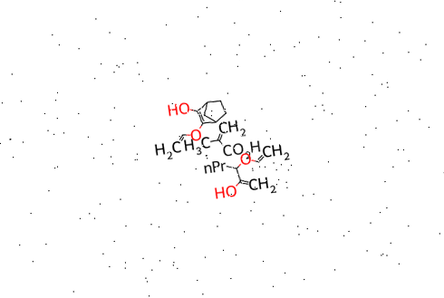 C=C(C)C(=O)O.C=COC(CCC)C(=C)O.C=COC1=C(O)C2CCC1C2